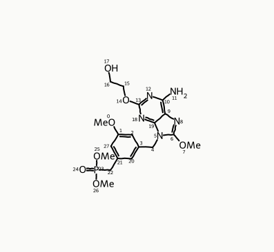 COc1cc(Cn2c(OC)nc3c(N)nc(OCCO)nc32)cc(CP(=O)(OC)OC)c1